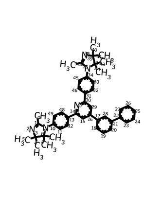 CC1=NC(C)(C)C(C)(C)N1c1ccc(-c2cc(-c3cccc(-c4ccccc4)c3)cc(-c3ccc(N4C(C)=NC(C)(C)C4(C)C)cc3)n2)cc1